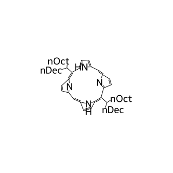 CCCCCCCCCCC(CCCCCCCC)c1c2nc(cc3ccc([nH]3)c(C(CCCCCCCC)CCCCCCCCCC)c3nc(cc4ccc1[nH]4)C=C3)C=C2